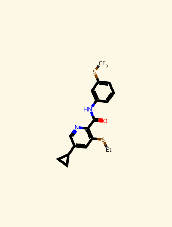 CCSc1cc(C2CC2)cnc1C(=O)Nc1cccc(SC(F)(F)F)c1